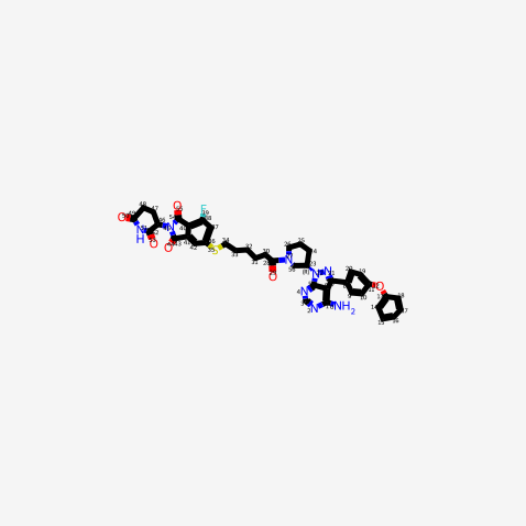 Nc1ncnc2c1c(-c1ccc(Oc3ccccc3)cc1)nn2[C@@H]1CCCN(C(=O)CCCCCSc2cc(F)c3c(c2)C(=O)N(C2CCC(=O)NC2=O)C3=O)C1